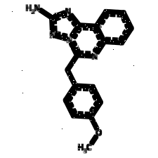 COc1ccc(Cc2nc3ccccc3c3nc(N)nn23)cc1